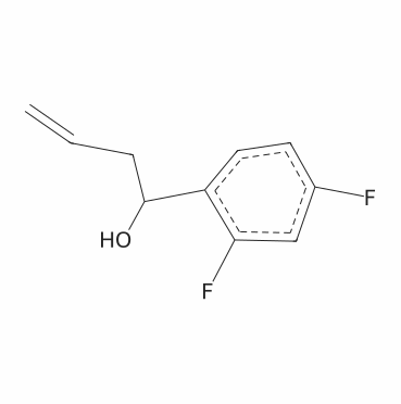 C=CCC(O)c1ccc(F)cc1F